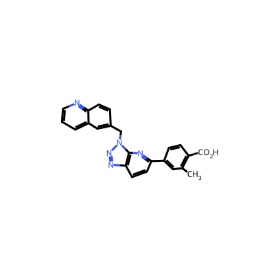 Cc1cc(-c2ccc3nnn(Cc4ccc5ncccc5c4)c3n2)ccc1C(=O)O